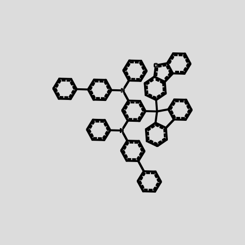 c1ccc(-c2ccc(N(c3ccccc3)c3cc(N(c4ccccc4)c4ccc(-c5ccccc5)cc4)cc(C4(c5ccc6oc7ccccc7c6c5)c5ccccc5-c5ccccc54)c3)cc2)cc1